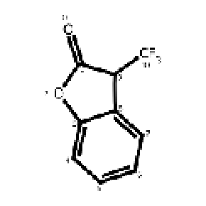 O=C1Oc2ccccc2C1C(F)(F)F